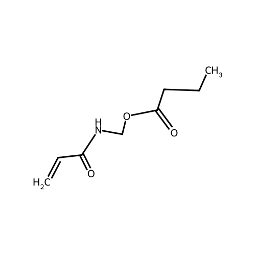 C=CC(=O)NCOC(=O)CCC